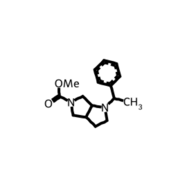 COC(=O)N1CC2CCN(C(C)c3ccccc3)C2C1